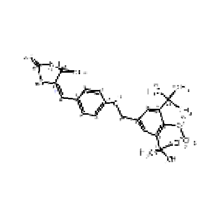 COc1c(C(C)(C)C)cc(COc2ccc(/C=C3/SC(=S)NC3=O)cc2)cc1C(C)(C)C